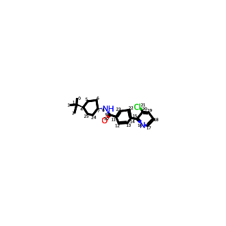 CC(C)(C)[C@H]1CC[C@H](NC(=O)c2ccc(-c3ncccc3Cl)cc2)CC1